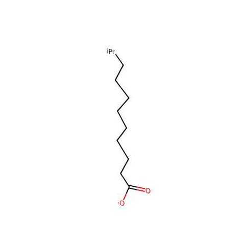 CC(C)CCCCCCCCC([O])=O